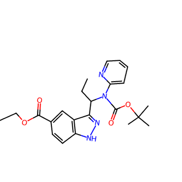 CCOC(=O)c1ccc2[nH]nc(C(CC)N(C(=O)OC(C)(C)C)c3ccccn3)c2c1